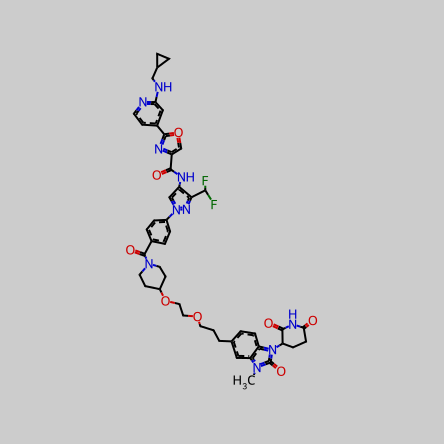 Cn1c(=O)n(C2CCC(=O)NC2=O)c2ccc(CCCOCCOC3CCN(C(=O)c4ccc(-n5cc(NC(=O)c6coc(-c7ccnc(NCC8CC8)c7)n6)c(C(F)F)n5)cc4)CC3)cc21